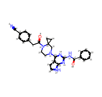 N#Cc1ccc(CC(=O)N2CCN(c3nc(NC(=O)c4ccccc4)nc4[nH]ccc34)CC23CC3)cc1